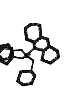 c1ccc(C[N+](Cc2ccccc2)(Cc2ccccc2)c2c3ccccc3cc3ccccc23)cc1